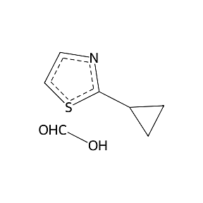 O=CO.c1csc(C2CC2)n1